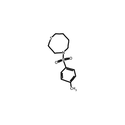 Cc1ccc(S(=O)(=O)N2CCCCSCC2)cc1